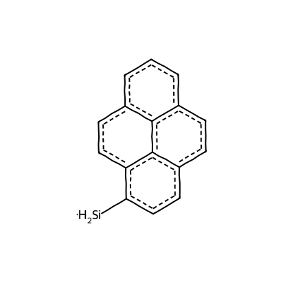 [SiH2]c1ccc2ccc3cccc4ccc1c2c34